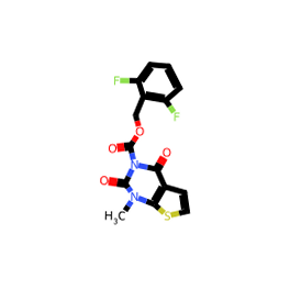 Cn1c(=O)n(C(=O)OCc2c(F)cccc2F)c(=O)c2ccsc21